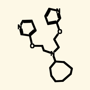 c1cncc(OCCN(CCOc2cccnc2)C2CCCCCCC2)c1